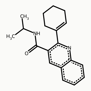 CC(C)NC(=O)c1cc2ccccc2nc1C1=CCCCC1